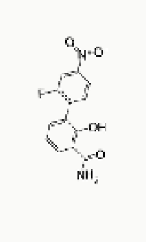 NC(=O)c1cccc(-c2ccc([N+](=O)[O-])cc2F)c1O